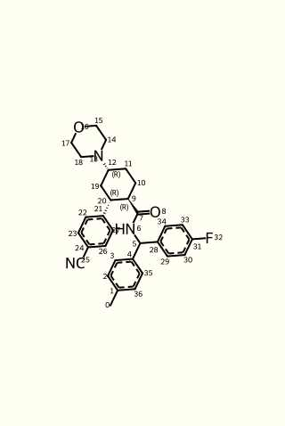 Cc1ccc(C(NC(=O)[C@@H]2CC[C@@H](N3CCOCC3)C[C@H]2c2ccc(C#N)cc2)c2ccc(F)cc2)cc1